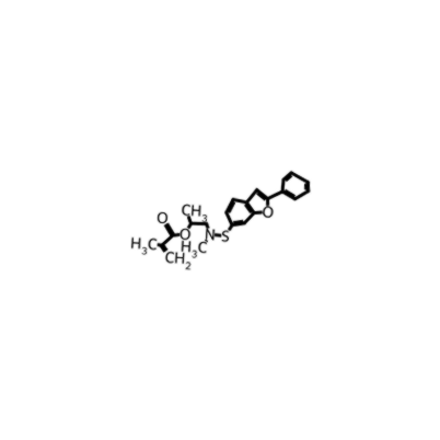 C=C(C)C(=O)OC(C)CN(C)Sc1ccc2cc(-c3ccccc3)oc2c1